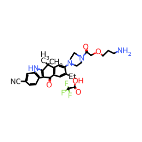 CCc1cc2c(cc1N1CCN(C(=O)COCCCN)CC1)C(C)(C)c1[nH]c3cc(C#N)ccc3c1C2=O.O=C(O)C(F)(F)F